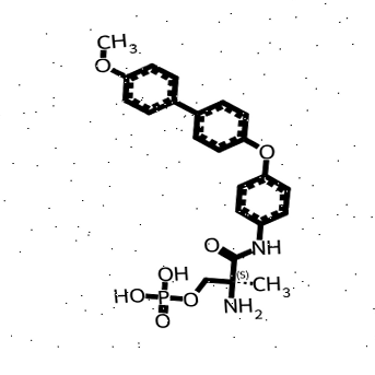 COc1ccc(-c2ccc(Oc3ccc(NC(=O)[C@@](C)(N)COP(=O)(O)O)cc3)cc2)cc1